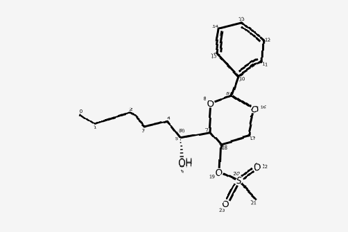 CCCCC[C@@H](O)C1OC(c2ccccc2)OCC1OS(C)(=O)=O